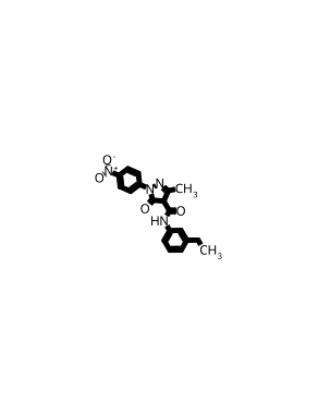 CCc1cccc(NC(=O)C2C(=O)N(c3ccc([N+](=O)[O-])cc3)N=C2C)c1